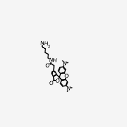 CN(C)c1ccc2c(c1)Oc1cc(N(C)C)ccc1C21OC(=O)c2ccc(CC(=O)NCCCCCN)cc21